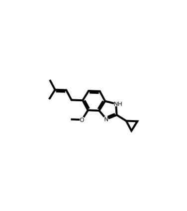 COc1c(CC=C(C)C)ccc2[nH]c(C3CC3)nc12